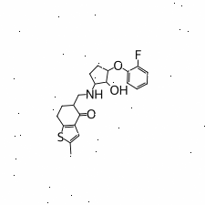 Cc1cc2c(s1)CCC(CNC1CCC(Oc3ccccc3F)C1O)C2=O